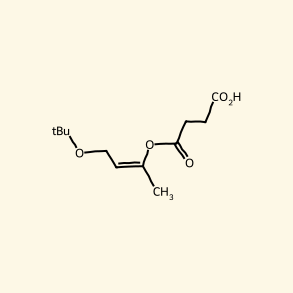 C/C(=C/COC(C)(C)C)OC(=O)CCC(=O)O